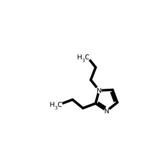 CCCc1nccn1CCC